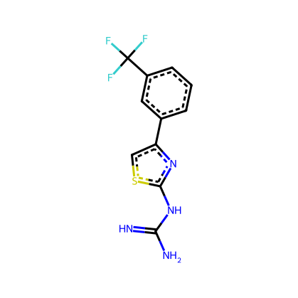 N=C(N)Nc1nc(-c2cccc(C(F)(F)F)c2)cs1